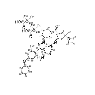 CC(C)(C=C(C#N)C(=O)N1CCC[C@@H](n2nc(-c3ccc(Oc4ccccc4)cc3F)c3c(N)ncnc32)C1)N1CCC1.O=C(O)C(F)(F)F.O=C(O)C(F)(F)F